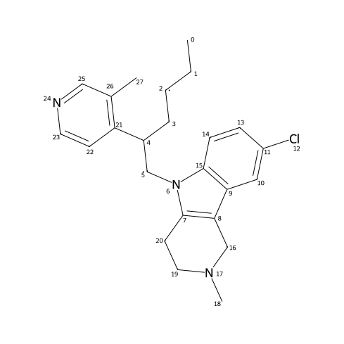 CC[CH]CC([CH]n1c2c(c3cc(Cl)ccc31)CN(C)CC2)c1ccncc1C